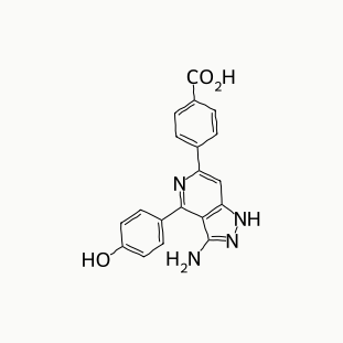 Nc1n[nH]c2cc(-c3ccc(C(=O)O)cc3)nc(-c3ccc(O)cc3)c12